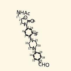 CC(=O)NC[C@H]1CN(c2ccc(N3CCN(c4ccc(C=O)cc4)CC3)c(F)c2)C(=O)O1